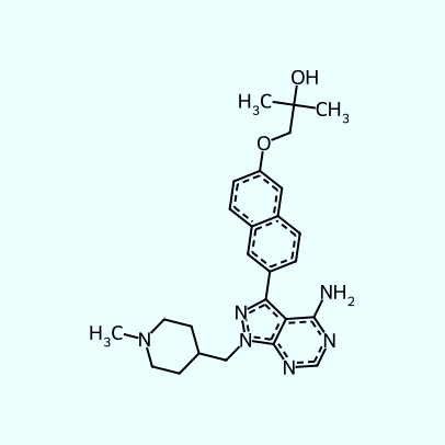 CN1CCC(Cn2nc(-c3ccc4cc(OCC(C)(C)O)ccc4c3)c3c(N)ncnc32)CC1